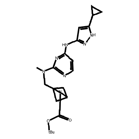 CN(CC12CC(C1)N(C(=O)OC(C)(C)C)C2)c1nccc(Nc2cc(C3CC3)[nH]n2)n1